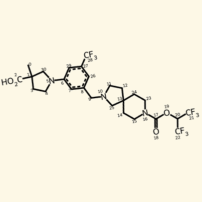 CC1(C(=O)O)CCN(c2cc(CN3CCC4(CCN(C(=O)OC(C(F)(F)F)C(F)(F)F)CC4)C3)cc(C(F)(F)F)c2)C1